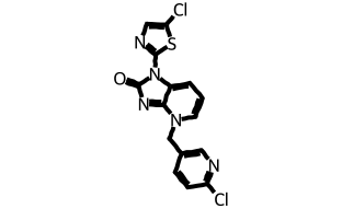 O=c1nc2n(Cc3ccc(Cl)nc3)cccc-2n1-c1ncc(Cl)s1